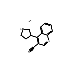 Cl.N#Cc1cnc2ccccc2c1C1CCNC1